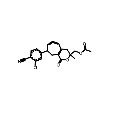 CC(=O)OCC1(C)CC2=C(CC(c3ccc(C#N)c(Cl)c3)C=C=C2)C(=O)O1